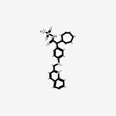 CS(=O)(=O)NC(=O)C(c1ccc(OCc2ccc3ccccc3n2)cc1)C1CCCCCC1